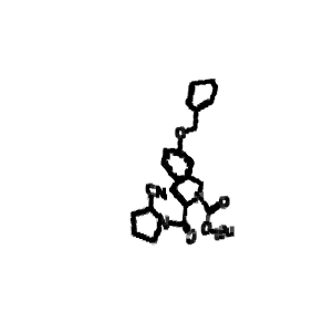 CC(C)(C)OC(=O)N1Cc2cc(OCC3=CCCC=C3)ccc2C=C1C(=O)N1CCCC1C#N